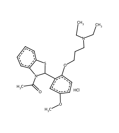 CCN(CC)CCCOc1ccc(OC)cc1C1Sc2ccccc2N1C(C)=O.Cl